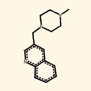 CN1CCN(Cc2[c]nc3ccccc3c2)CC1